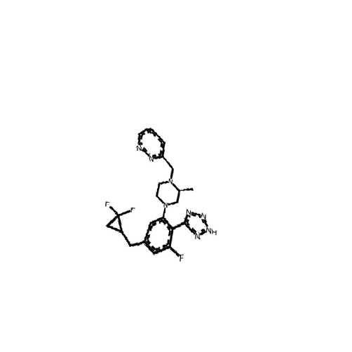 C[C@H]1CN(c2cc(CC3CC3(F)F)cc(F)c2-c2nn[nH]n2)CCN1Cc1cccnn1